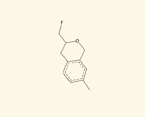 Cc1ccc2c(c1)COC(CF)C2